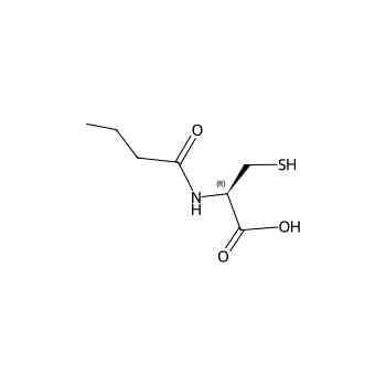 CCCC(=O)N[C@@H](CS)C(=O)O